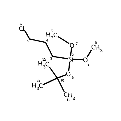 CO[Si](CCCCl)(OC)OC(C)(C)C